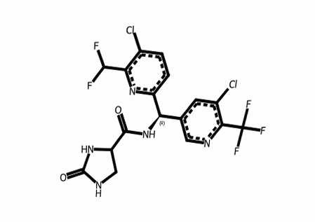 O=C1NCC(C(=O)N[C@H](c2cnc(C(F)(F)F)c(Cl)c2)c2ccc(Cl)c(C(F)F)n2)N1